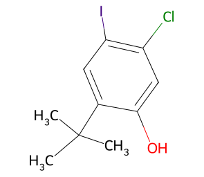 CC(C)(C)c1cc(I)c(Cl)cc1O